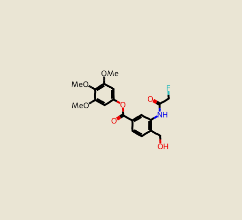 COc1cc(OC(=O)c2ccc(CO)c(NC(=O)CF)c2)cc(OC)c1OC